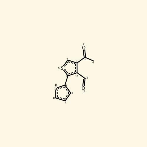 CC(=O)c1csc(-c2cccs2)c1C=O